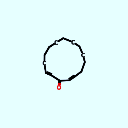 O=C1C=CCCCCCCCCCCC=C1